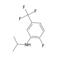 CC(C)Nc1cc(C(F)(F)F)ccc1F